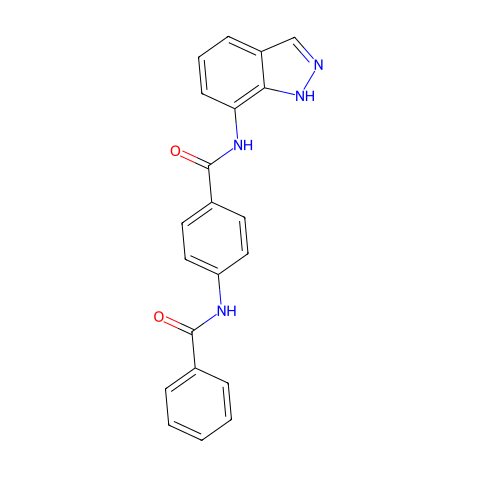 O=C(Nc1ccc(C(=O)Nc2cccc3cn[nH]c23)cc1)c1ccccc1